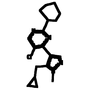 Cn1ncc(-c2nc(C3CCCCC3)ncc2Cl)c1CC1CC1